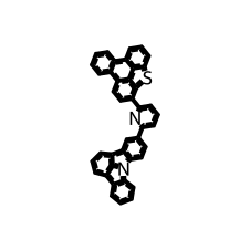 c1cc(-c2ccc3c(c2)c2cccc4c5ccccc5n3c42)nc(-c2ccc3c4ccccc4c4cccc5sc2c3c54)c1